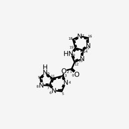 O=C(Oc1ncnc2nc[nH]c12)c1nc2ncncc2[nH]1